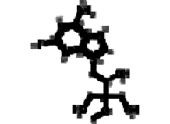 COC(CO)(CO)[C@@H](O)Cn1cnc2c(N)nc(F)nc21